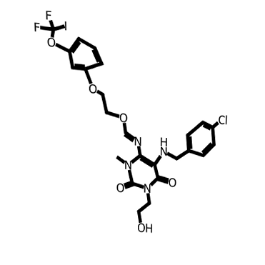 Cn1c(/N=C/OCCOc2cccc(OC(F)(F)I)c2)c(NCc2ccc(Cl)cc2)c(=O)n(CCO)c1=O